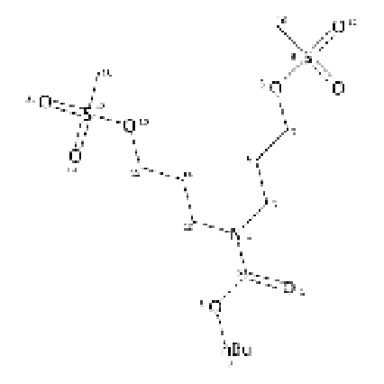 CCCCOC(=O)N(CCCOS(C)(=O)=O)CCCOS(C)(=O)=O